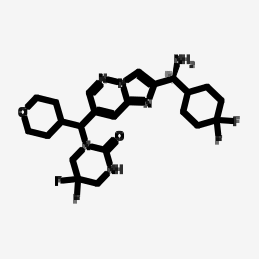 N[C@H](c1cn2ncc(C(C3CCOCC3)N3CC(F)(F)CNC3=O)cc2n1)C1CCC(F)(F)CC1